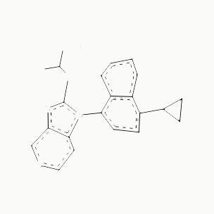 CC(Sc1nc2cnccc2n1-c1ccc(C2CC2)c2ccccc12)C(=O)O